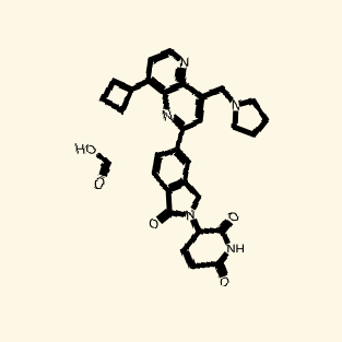 O=C1CCC(N2Cc3cc(-c4cc(CN5CCCC5)c5nccc(C6CCC6)c5n4)ccc3C2=O)C(=O)N1.O=CO